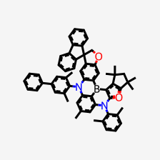 Cc1cc2c3c(c1)N(c1c(C)cccc1C)c1oc4c(c1B3c1cc3c(cc1N2c1c(C)cc(-c2ccccc2)cc1C)C1(CO3)c2ccccc2-c2ccccc21)C(C)(C)CC4(C)C